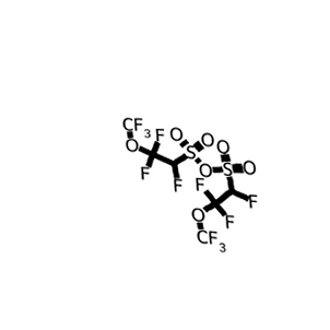 O=S(=O)(OS(=O)(=O)C(F)C(F)(F)OC(F)(F)F)C(F)C(F)(F)OC(F)(F)F